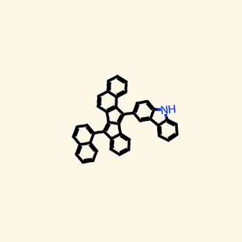 c1ccc2c(c1)C1=C(c3ccc4[nH]c5ccccc5c4c3)c3c(ccc4ccccc34)C1=C2c1cccc2ccccc12